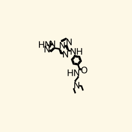 CCN(CC)CCNC(=O)c1ccc(Nc2ncc(-c3cn[nH]n3)n3ccnc23)cc1